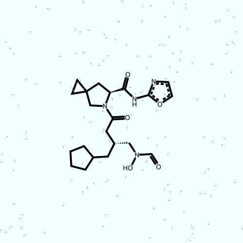 O=CN(O)C[C@@H](CC(=O)N1CC2(CC2)C[C@H]1C(=O)Nc1ncco1)CC1CCCC1